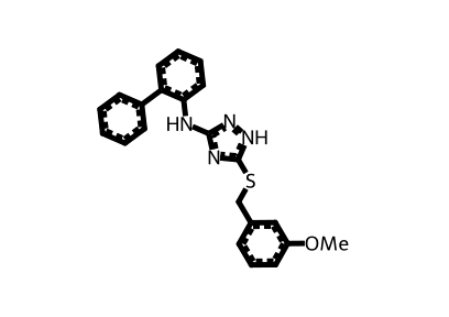 COc1cccc(CSc2nc(Nc3ccccc3-c3ccccc3)n[nH]2)c1